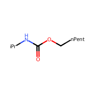 [CH2]CCCCCOC(=O)NC(C)C